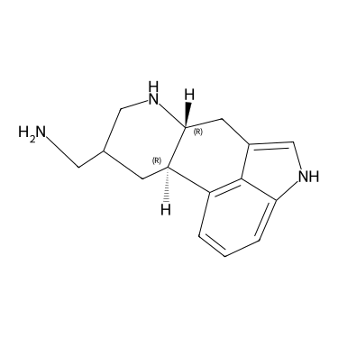 NCC1CN[C@@H]2Cc3c[nH]c4cccc(c34)[C@H]2C1